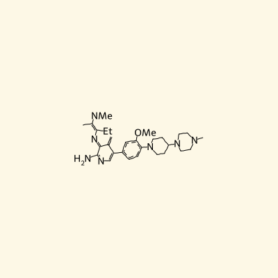 C=C1C(c2ccc(N3CCC(N4CCN(C)CC4)CC3)c(OC)c2)=CN=C(N)/C1=N/C(CC)=C(\C)NC